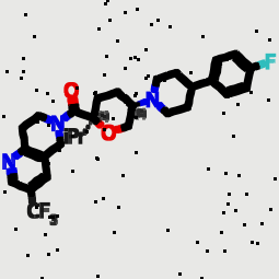 CC(C)[C@]1(C(=O)N2CCc3ncc(C(F)(F)F)cc3C2)CC[C@@H](N2CCC(c3ccc(F)cc3)CC2)CO1